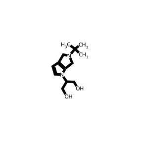 CC(C)(C)N1Cc2ccn(C(CO)CO)c2C1